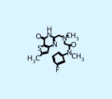 Cc1cc2nc(CN(C)CC(=O)N(C)c3cccc(F)c3)[nH]c(=O)c2s1